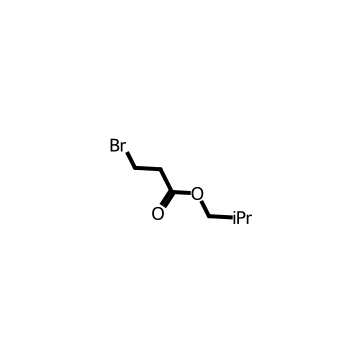 CC(C)COC(=O)CCBr